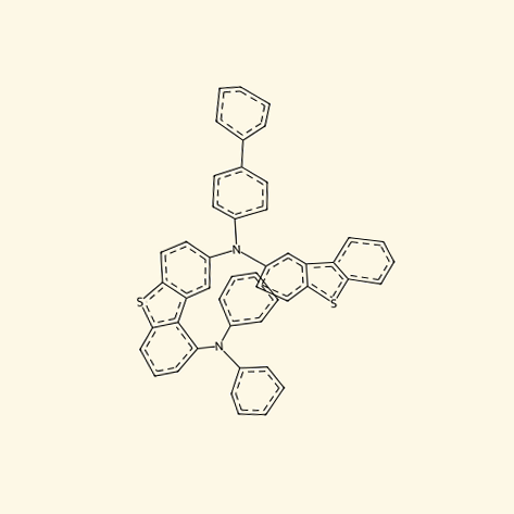 c1ccc(-c2ccc(N(c3ccc4sc5ccccc5c4c3)c3ccc4sc5cccc(N(c6ccccc6)c6ccccc6)c5c4c3)cc2)cc1